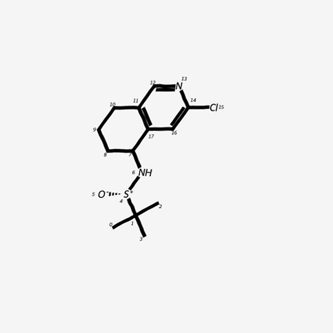 CC(C)(C)[S@+]([O-])NC1CCCc2cnc(Cl)cc21